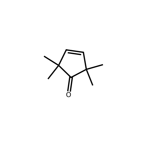 CC1(C)C=CC(C)(C)C1=O